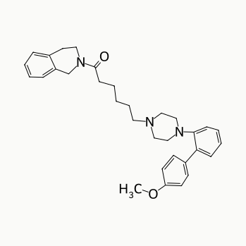 COc1ccc(-c2ccccc2N2CCN(CCCCCC(=O)N3CCc4ccccc4C3)CC2)cc1